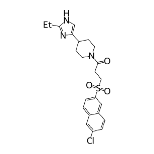 CCc1nc(C2CCN(C(=O)CCS(=O)(=O)c3ccc4cc(Cl)ccc4c3)CC2)c[nH]1